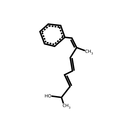 CC(=Cc1ccccc1)/C=C/C=C/C(C)O